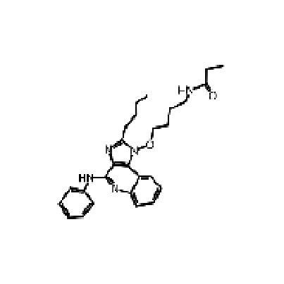 CCCCc1nc2c(Nc3ccccc3)nc3ccccc3c2n1OCCCCNC(=O)CC